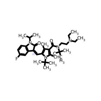 CCN(CC)CCN(C(=O)c1c(C)c(/C=C2\C(=O)N(C(C)C)c3ccc(F)cc32)n(C(C)(C)C)c1C)C(C)(C)C